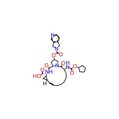 O=C(N[C@H]1CCCCC/C=C\[C@@H]2C[C@@]2(C(=O)O)NC(=O)C2C[C@@H](OC(=O)N3Cc4ccncc4C3)CN2C1=O)OC1CCCC1